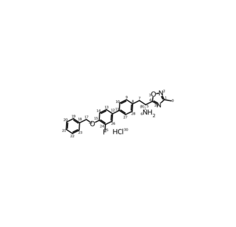 Cc1noc([C@H](N)Cc2ccc(-c3ccc(OCc4ccccc4)c(F)c3)cc2)n1.Cl